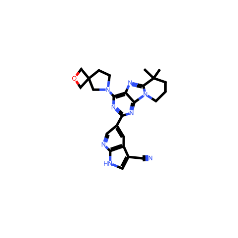 CC1(C)CCCn2c1nc1c(N3CCC4(COC4)C3)nc(-c3cnc4[nH]cc(C#N)c4c3)nc12